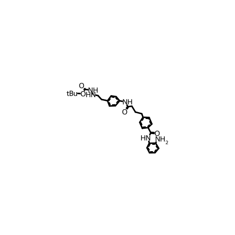 CC(C)(C)OC(=O)NNCCc1ccc(NC(=O)CCCc2ccc(C(=O)Nc3ccccc3N)cc2)cc1